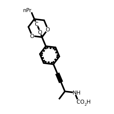 CCCC12COC(c3ccc(C#CC(C)NC(=O)O)cc3)(OC1)OC2